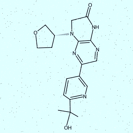 CC(C)(O)c1ccc(-c2cnc3c(n2)N([C@@H]2CCOC2)CC(=O)N3)cn1